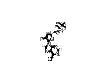 CC(C)(C)[Si](C)(C)OC[C@H]1C=C(F)C(n2cnc3c(Cl)ncnc32)O1